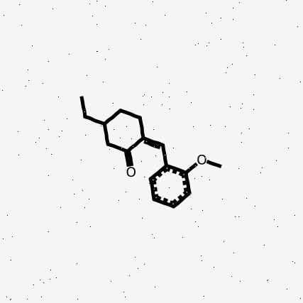 CCC1CCC(=Cc2ccccc2OC)C(=O)C1